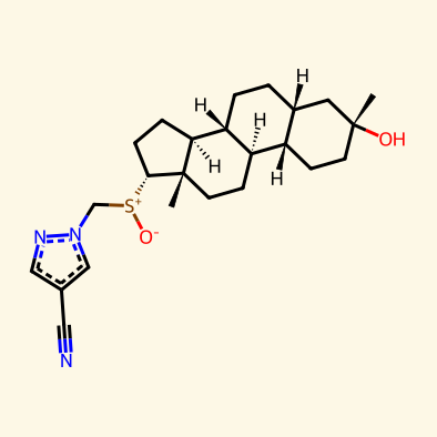 C[C@@]1(O)CC[C@H]2[C@H](CC[C@@H]3[C@@H]2CC[C@@]2(C)[C@H]3CC[C@H]2[S+]([O-])Cn2cc(C#N)cn2)C1